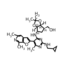 Cc1cc2cc(-c3c(C)nc(NCC4CC4)nc3N[C@@H]3C[C@H](CO)[C@H]4OC(C)(C)O[C@H]43)oc2c(C)n1